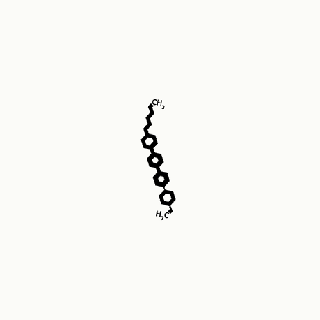 CCCCCCC1CC=C(c2ccc(-c3ccc([C@H]4CC[C@H](CC)CC4)cc3)cc2)CC1